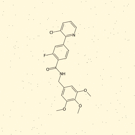 COc1cc(CNC(=O)c2ccc(-c3ncccc3Cl)cc2F)cc(OC)c1OC